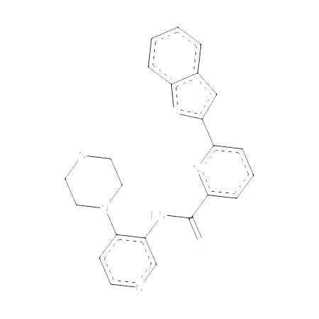 O=C(Nc1cnccc1N1CCNCC1)c1cccc(-c2cc3ccccc3o2)n1